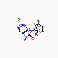 Cn1c(=O)n([C@H]2C[C@@H]3CC[C@H]2C3)c2nc(Cl)ncc21